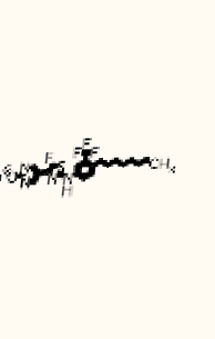 CCCCCCCCc1ccc(Nc2nc(-c3cnc(OC)nc3)c(F)s2)cc1C(F)(F)F